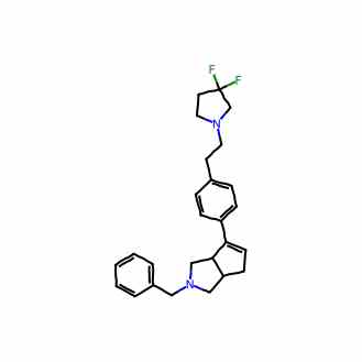 FC1(F)CCN(CCc2ccc(C3=CCC4CN(Cc5ccccc5)CC34)cc2)C1